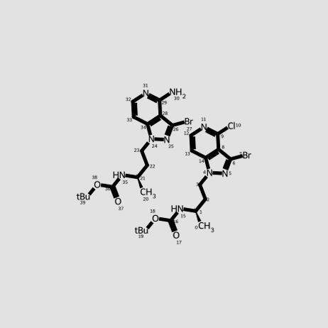 C[C@H](CCn1nc(Br)c2c(Cl)nccc21)NC(=O)OC(C)(C)C.C[C@H](CCn1nc(Br)c2c(N)nccc21)NC(=O)OC(C)(C)C